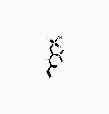 C=CC(=O)NC(CS(=O)(=O)O)N(C)C